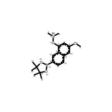 COc1cc(O[SiH](C)C)c2cc(B3OC(C)(C)C(C)(C)O3)ccc2c1